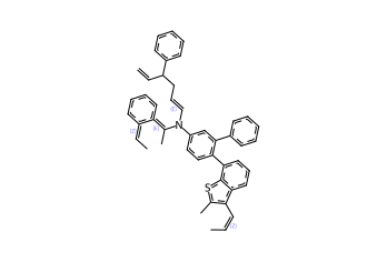 C=CC(C/C=C/N(/C(C)=c1\cccc\c1=C\C)c1ccc(-c2cccc3c(/C=C\C)c(C)sc23)c(-c2ccccc2)c1)c1ccccc1